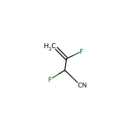 C=C(F)[C](F)C#N